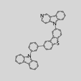 c1cc(-c2ccc3sc4ccc(-n5c6ccccc6c6cnccc65)cc4c3c2)cc(-n2c3ccccc3c3ccccc32)c1